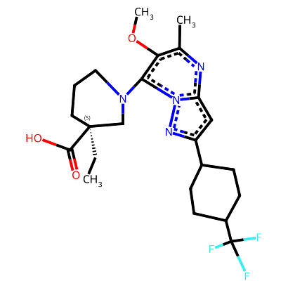 CC[C@]1(C(=O)O)CCCN(c2c(OC)c(C)nc3cc(C4CCC(C(F)(F)F)CC4)nn23)C1